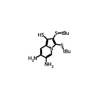 CC(C)(C)Sc1c(S)c2cc(N)c(N)cn2c1SC(C)(C)C